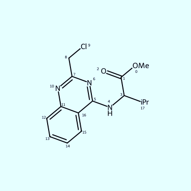 COC(=O)C(Nc1nc(CCl)nc2ccccc12)C(C)C